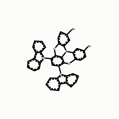 CC(C)c1ccc2c(c1)B1c3cc(C(C)C)ccc3Oc3c(-n4c5ccccc5c5ccccc54)cc(-n4c5ccccc5c5ccccc54)c(c31)O2